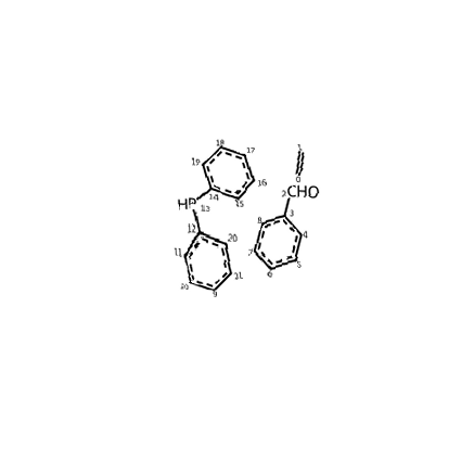 C=C.O=Cc1ccccc1.c1ccc(Pc2ccccc2)cc1